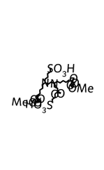 COOS(=O)(=O)CCCCCN(CCCCS(=O)(=O)O)CCN(CCCCCS(=O)(=O)OOC)CCC(=O)OCCCS(=O)(=O)O